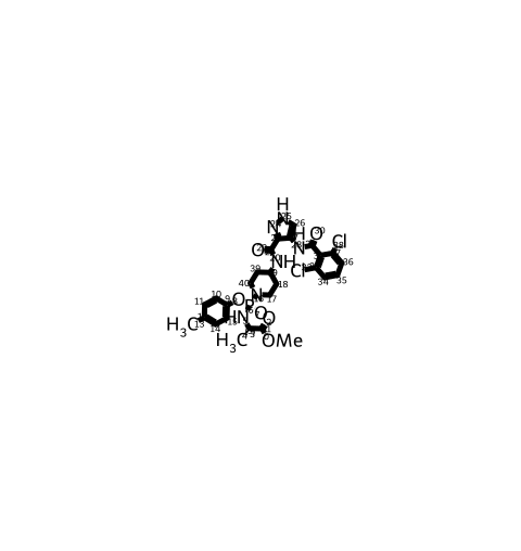 COC(=O)[C@H](C)NP(=O)(Oc1ccc(C)cc1)N1CCC(NC(=O)c2n[nH]cc2NC(=O)c2c(Cl)cccc2Cl)CC1